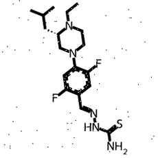 CCN1CCN(c2cc(F)c(/C=N/NC(N)=S)cc2F)C[C@@H]1CC(C)C